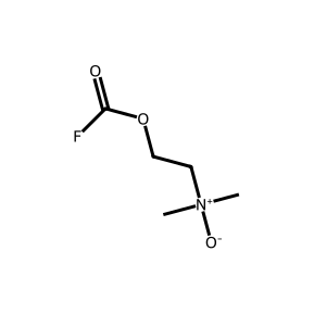 C[N+](C)([O-])CCOC(=O)F